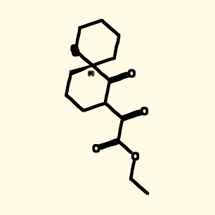 CCOC(=O)C(=O)C1CCC[C@@]2(CCCCC23OCCO3)C1=O